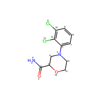 NC(=O)C1CN(c2cccc(Cl)c2Cl)CCO1